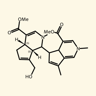 COC(=O)C1=CN(C)C=C2C(C)=CC(C3[C@@H]4C(CO)=CC[C@@H]4C(C(=O)OC)=CN3C)C12